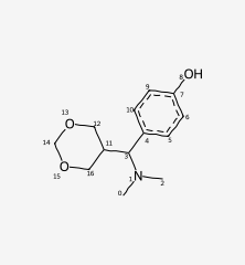 CN(C)C(c1ccc(O)cc1)C1COCOC1